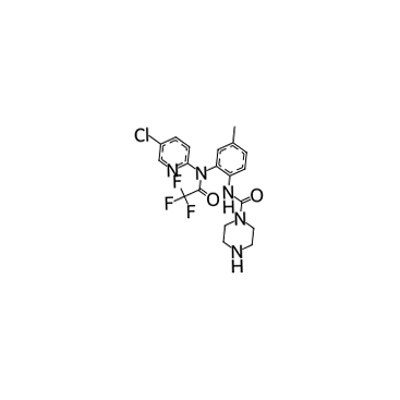 Cc1ccc(NC(=O)N2CCNCC2)c(N(C(=O)C(F)(F)F)c2ccc(Cl)cn2)c1